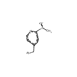 CC(C)Cc1ccnc([S+](C)[O-])c1